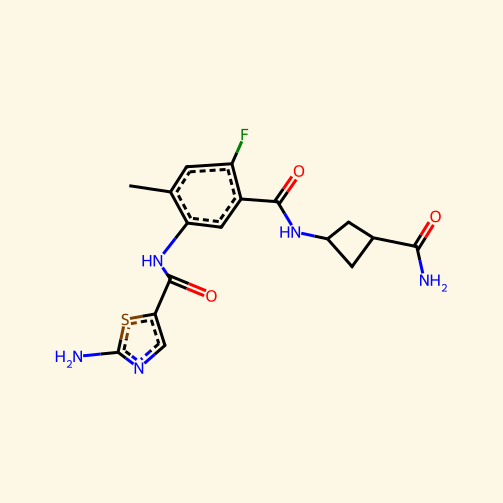 Cc1cc(F)c(C(=O)NC2CC(C(N)=O)C2)cc1NC(=O)c1cnc(N)s1